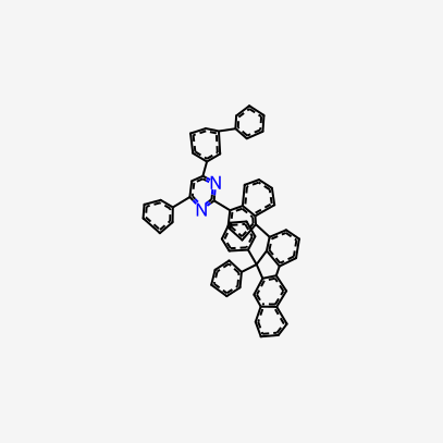 c1ccc(-c2cccc(-c3cc(-c4ccccc4)nc(-c4ccc(-c5cccc6c5C(c5ccccc5)(c5ccccc5)c5cc7ccccc7cc5-6)c5ccccc45)n3)c2)cc1